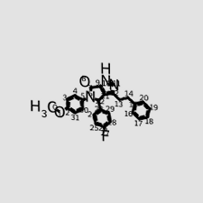 COc1ccc(N2C(=O)c3[nH]nc(CCc4ccccc4)c3C2c2ccc(F)cc2)cc1